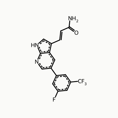 NC(=O)C=Cc1c[nH]c2ncc(-c3cc(F)cc(C(F)(F)F)c3)cc12